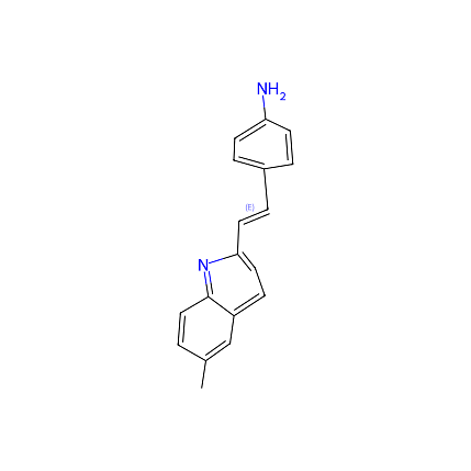 Cc1ccc2nc(/C=C/c3ccc(N)cc3)ccc2c1